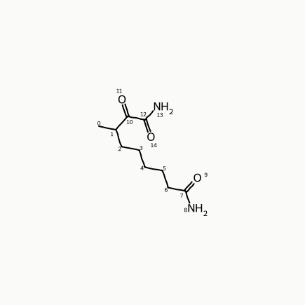 CC(CCCCCC(N)=O)C(=O)C(N)=O